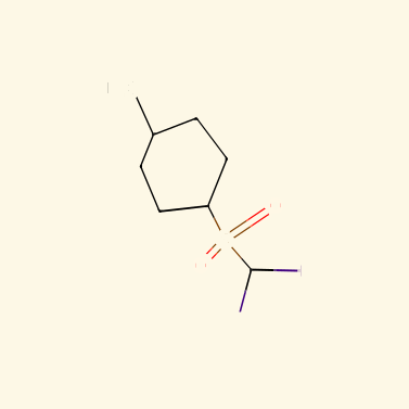 CC1CCC(S(=O)(=O)C(I)I)CC1